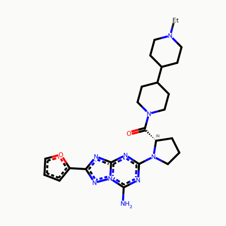 CCN1CCC(C2CCN(C(=O)[C@@H]3CCCN3c3nc(N)n4nc(-c5ccco5)nc4n3)CC2)CC1